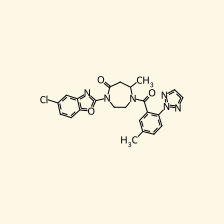 Cc1ccc(-n2nccn2)c(C(=O)N2CCN(c3nc4cc(Cl)ccc4o3)C(=O)CC2C)c1